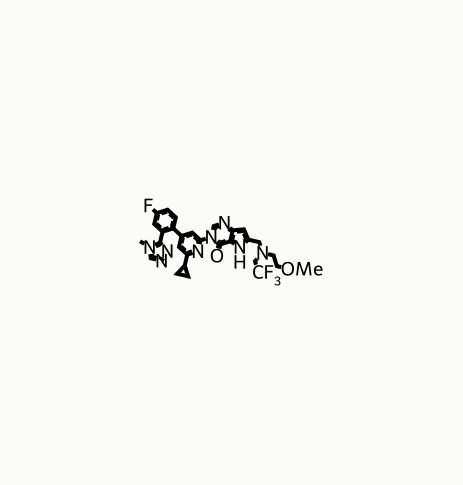 COCCN(Cc1cc2ncn(-c3cc(-c4ccc(F)cc4-c4nncn4C)cc(C4CC4)n3)c(=O)c2[nH]1)CC(F)(F)F